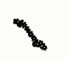 Nc1ncnc2c1c(-c1ccc(Oc3ccccc3)cc1)nn2C1CCN(c2cnc(N3CC4CN(c5ccc6c(c5)C(=O)N(C5CCC(=O)NC5=O)C6=O)CC4C3)nc2)CC1